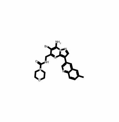 Cc1ccc2ncc(-c3cnn4c(N)c(Br)c(CNC(=O)N5CCOCC5)nc34)cc2c1